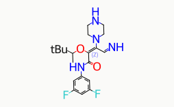 CC(O/C(C(=O)Nc1cc(F)cc(F)c1)=C(/C=N)N1CCNCC1)C(C)(C)C